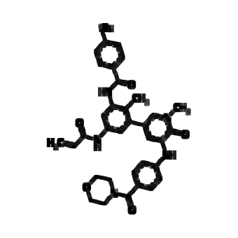 C=CC(=O)Nc1cc(NC(=O)c2ccc(C(C)(C)C)cc2)c(C)c(-c2cc(Nc3ccc(C(=O)N4CCOCC4)cc3)c(=O)n(C)c2)c1